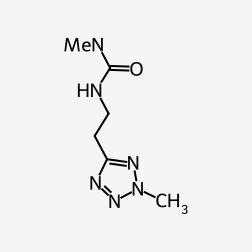 CNC(=O)NCCc1nnn(C)n1